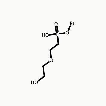 CCOP(=O)(O)CCOCCO